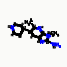 Cc1nc2c(cc1-c1ccncc1)nc(N)n2C